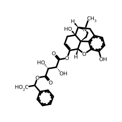 CN1CC[C@@]23c4c5ccc(O)c4O[C@@H]2C(OC(=O)[C@H](O)[C@@H](O)C(=O)OC(C(=O)O)c2ccccc2)=CC[C@]3(O)[C@@H]1C5